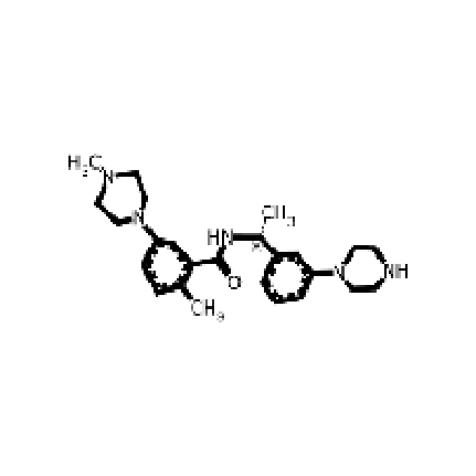 Cc1ccc(N2CCN(C)CC2)cc1C(=O)N[C@H](C)c1cccc(N2CCNCC2)c1